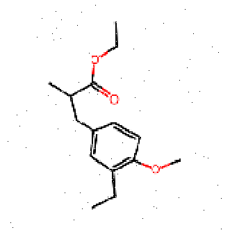 CCOC(=O)C(C)Cc1ccc(OC)c(CC)c1